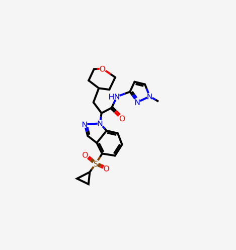 Cn1ccc(NC(=O)C(CC2CCOCC2)n2ncc3c(S(=O)(=O)C4CC4)cccc32)n1